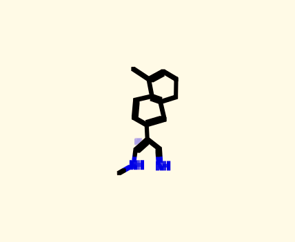 CN/C=C(\C=N)c1ccc2c(c1)CCC=C2C